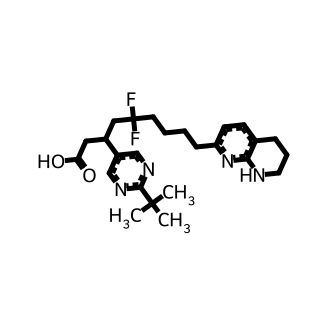 CC(C)(C)c1ncc(C(CC(=O)O)CC(F)(F)CCCCc2ccc3c(n2)NCCC3)cn1